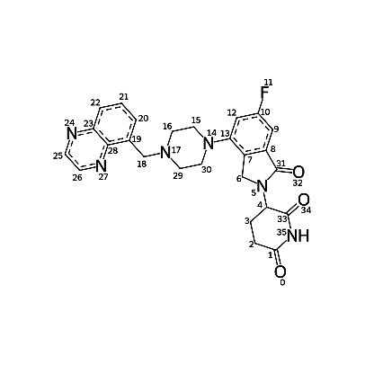 O=C1CCC(N2Cc3c(cc(F)cc3N3CCN(Cc4cccc5nccnc45)CC3)C2=O)C(=O)N1